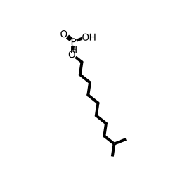 CC(C)CCCCCCCCO[PH](=O)O